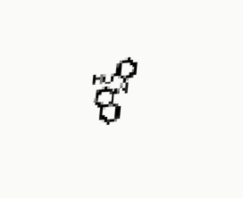 Oc1ccccc1N=C1C=CC=C2C=CC=CC21